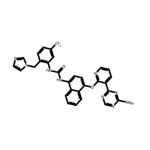 CNc1ncnc(-c2cccnc2Oc2ccc(NC(=O)Nc3cc(C(F)(F)F)ccc3Cn3ccnc3)c3ccccc23)n1